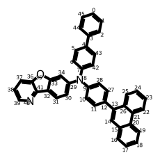 c1ccc(-c2ccc(N(c3ccc(-c4cc5ccccc5c5ccccc45)cc3)c3ccc4c(c3)oc3cccnc34)cc2)cc1